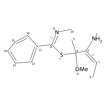 C/C=C(/N)C(C)(OC)S/C(=N\C)c1ccccc1